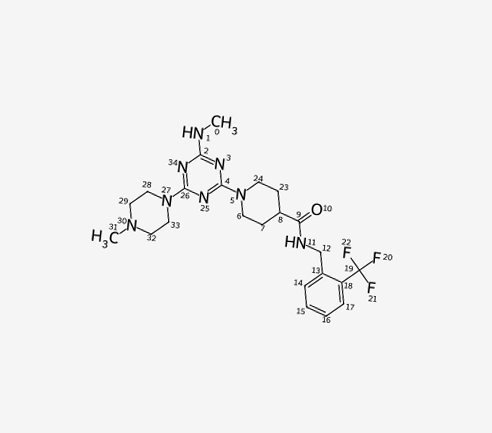 CNc1nc(N2CCC(C(=O)NCc3ccccc3C(F)(F)F)CC2)nc(N2CCN(C)CC2)n1